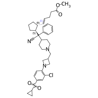 COC(=O)CC/C=C/[C@H]1CCC[C@@H]1C(C#N)(c1ccccc1)C1CCN(CC2CN(c3ccc(S(=O)(=O)C4CC4)cc3Cl)C2)CC1